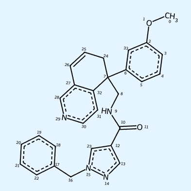 COc1cccc(C2(CNC(=O)c3cnn(Cc4ccccc4)c3)CC=Cc3cnccc32)c1